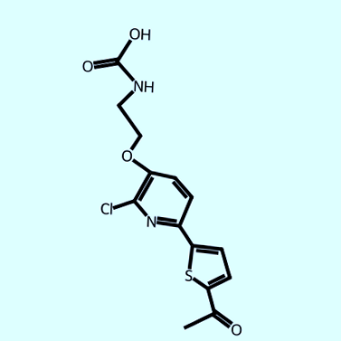 CC(=O)c1ccc(-c2ccc(OCCNC(=O)O)c(Cl)n2)s1